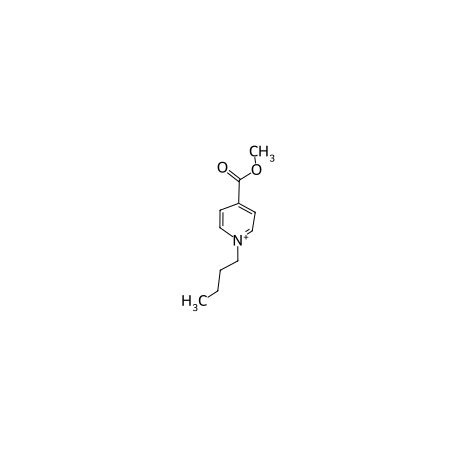 CCCC[n+]1ccc(C(=O)OC)cc1